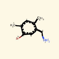 Cc1cc(C)c(CN)cc1Br